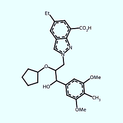 CCc1cc(C(=O)O)c2nn(CC(OC3CCCC3)C(O)c3cc(OC)c(C)c(OC)c3)cc2c1